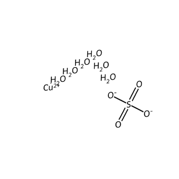 O.O.O.O.O.O.O=S(=O)([O-])[O-].[Cu+2]